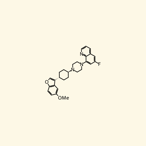 COc1ccc2occ([C@H]3CC[C@H](N4CCN(c5cc(F)cc6cccnc56)CC4)CC3)c2c1